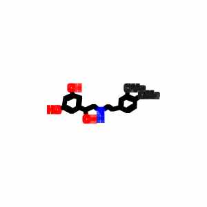 COc1ccc(CCNCC(O)c2cc(O)cc(O)c2)cc1OC